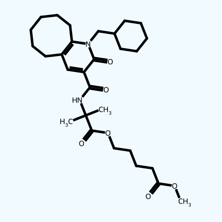 COC(=O)CCCCOC(=O)C(C)(C)NC(=O)c1cc2c(n(CC3CCCCC3)c1=O)CCCCCC2